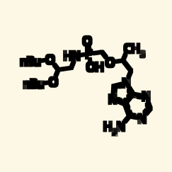 CCCCOC(CNP(=O)(O)COC(C)Cn1cnc2c(N)ncnc21)OCCCC